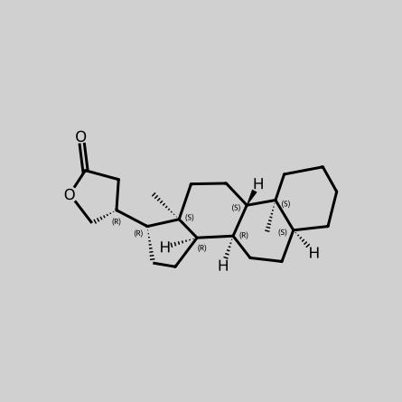 C[C@]12CC[C@H]3[C@@H](CC[C@@H]4CCCC[C@@]43C)[C@H]1CC[C@@H]2[C@@H]1COC(=O)C1